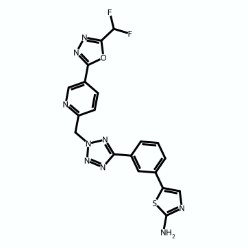 Nc1ncc(-c2cccc(-c3nnn(Cc4ccc(-c5nnc(C(F)F)o5)cn4)n3)c2)s1